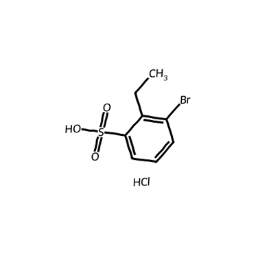 CCc1c(Br)cccc1S(=O)(=O)O.Cl